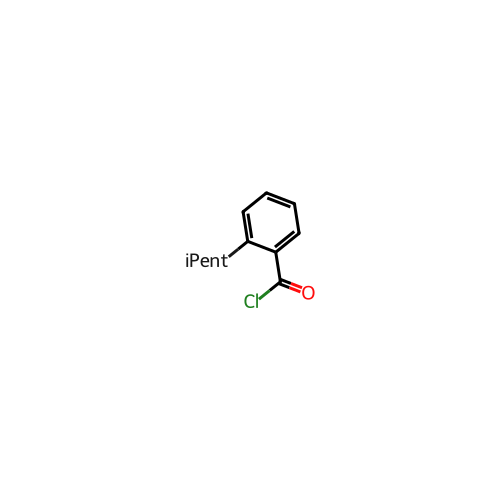 CCCC(C)c1ccccc1C(=O)Cl